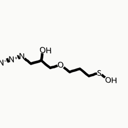 [N-]=[N+]=NCC(O)COCCCSO